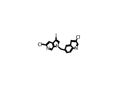 Clc1cnc2ccc(Cn3cc(I)c4cc(Cl)ncc43)cc2c1